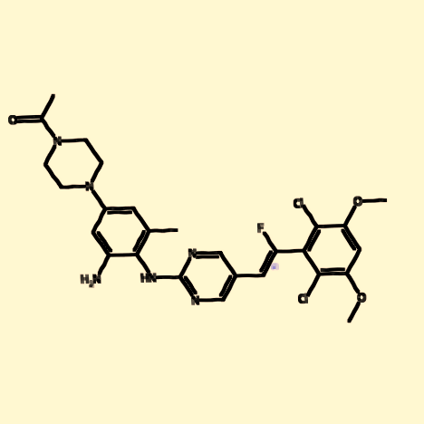 COc1cc(OC)c(Cl)c(/C(F)=C/c2cnc(Nc3c(C)cc(N4CCN(C(C)=O)CC4)cc3N)nc2)c1Cl